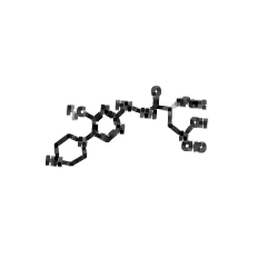 CCCCC[C@H](CN(O)C=O)C(=O)NNc1ncc(N2CCNCC2)c(C(F)(F)F)n1